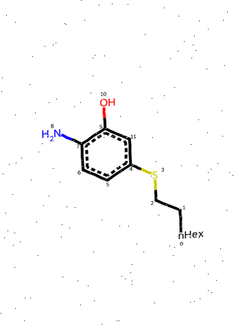 CCCCCCCCSc1ccc(N)c(O)c1